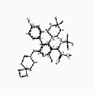 Cc1nc(CN2CCC3(CCC3)CC2)c(-c2ccc(F)cc2)c(N2CCC(C)(C)CC2)c1C(OC(C)(C)C)C(=O)O